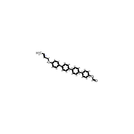 C/C=C/COc1ccc(-c2ccc(-c3ccc(-c4ccc(OC=O)cc4)cc3)cc2)cc1